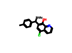 CC(=O)NC(c1ccc(C)cc1)c1cc(Cl)c2cccnc2c1O